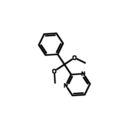 COC(OC)(c1ccccc1)c1ncccn1